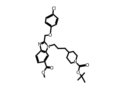 COC(=O)c1ccc2nc(COc3ccc(Cl)cc3)n(CCCC3CCN(C(=O)OC(C)(C)C)CC3)c2c1